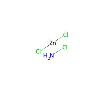 NCl.[Cl][Zn][Cl]